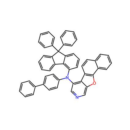 c1ccc(-c2ccc(N(c3cccc4c3-c3ccccc3C4(c3ccccc3)c3ccccc3)c3cncc4oc5c6ccccc6ccc5c34)cc2)cc1